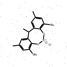 Cc1cc2c(c(C(C)(C)C)c1)[O][Ti+2][O]c1c(cc(C)cc1C(C)(C)C)C2C.[Cl-].[Cl-]